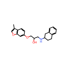 Cc1coc2cc(OCC(O)CNC3CCc4ccccc4C3)ccc12